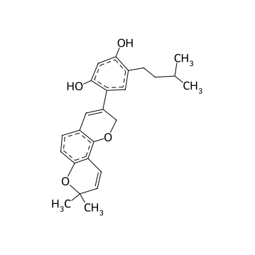 CC(C)CCc1cc(C2=Cc3ccc4c(c3OC2)C=CC(C)(C)O4)c(O)cc1O